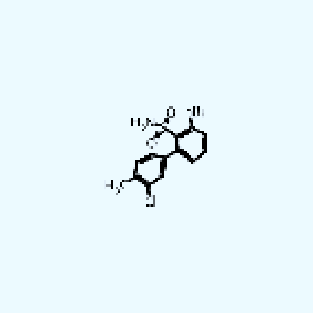 CCCCc1cccc(-c2ccc(C)c(Cl)c2)c1S(N)(=O)=O